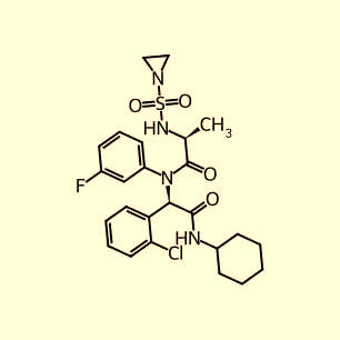 C[C@H](NS(=O)(=O)N1CC1)C(=O)N(c1cccc(F)c1)[C@@H](C(=O)NC1CCCCC1)c1ccccc1Cl